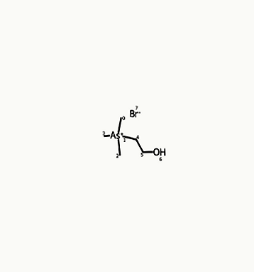 C[As+](C)(C)CCO.[Br-]